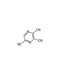 N#Cc1cnc(C#N)c(C#N)n1